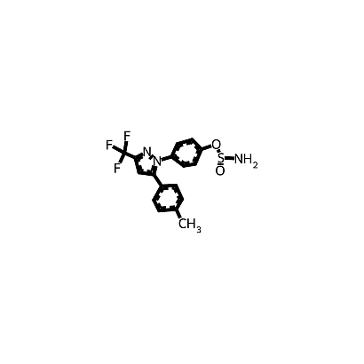 Cc1ccc(-c2cc(C(F)(F)F)nn2-c2ccc(OS(N)=O)cc2)cc1